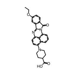 CCOc1ccc2c(c1)C1=Nc3ccc(N4CCC(C(=O)O)CC4)c4cccc(c34)N1C2=O